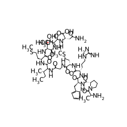 CC[C@H](C)[C@H](NC(=O)CNC(=O)[C@H](CCSC)NC(=O)[C@H](CCCNC(=N)N)NC(=O)[C@H](Cc1ccccc1)NC(=O)[C@@H]1CCCN1C(=O)[C@H](C)N)C(=O)N[C@@H](CCSC)C(=O)N[C@H](C(=O)N[C@H](C(=O)N[C@@H](CC(N)=O)C(=O)O)[C@@H](C)O)[C@@H](C)O